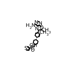 CC1(C)Oc2ncnc(N)c2N=C1C1=CCC([C@H]2CC[C@H](CP(=O)(O)c3ccsc3)CC2)C=C1